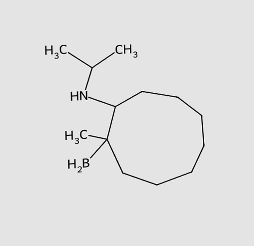 BC1(C)CCCCCCCC1NC(C)C